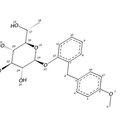 COc1ccc(Cc2ccccc2O[C@@H]2O[C@H]([C@@H](C)O)[C@@H](O)[C@H](O)[C@H]2O)cc1